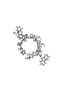 C[C@@H]1NC(=O)[C@H](C)NC(=O)[C@@H](NC(=O)OCC2c3ccccc3-c3ccccc32)Cc2ccc(O)c(c2)Cc2cnc(s2)NCC(=O)NC[C@@H](C(=O)N[C@@H](Cc2ccccc2)C(N)=O)NC(=O)CNC1=O